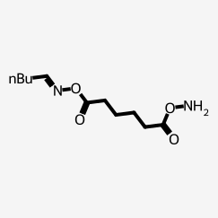 CCCCC=NOC(=O)CCCCC(=O)ON